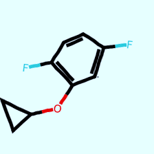 Fc1[c]c(OC2CC2)c(F)cc1